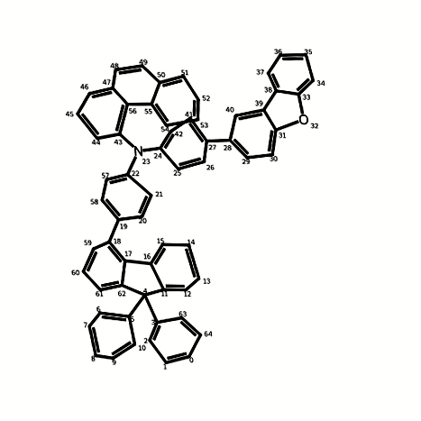 c1ccc(C2(c3ccccc3)c3ccccc3-c3c(-c4ccc(N(c5ccc(-c6ccc7oc8ccccc8c7c6)cc5)c5cccc6ccc7ccccc7c56)cc4)cccc32)cc1